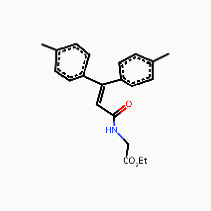 CCOC(=O)CNC(=O)C=C(c1ccc(C)cc1)c1ccc(C)cc1